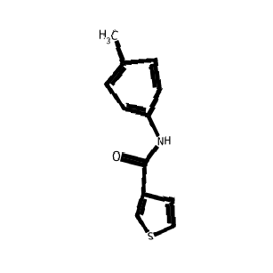 Cc1ccc(NC(=O)c2ccsc2)cc1